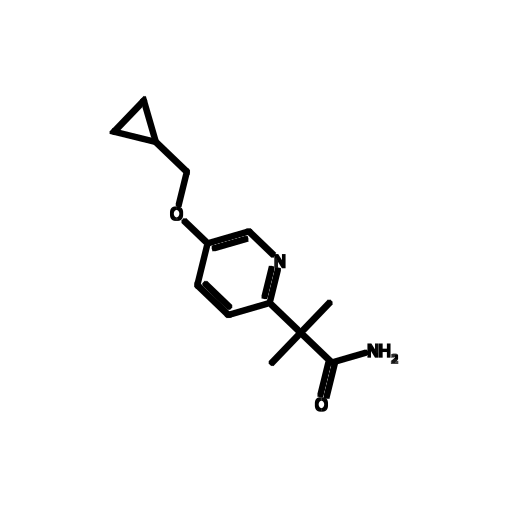 CC(C)(C(N)=O)c1ccc(OCC2CC2)cn1